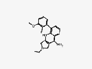 CCN1CC2=C(C1)C(N)c1cccc(-c3cccc(OC)c3F)c1N2